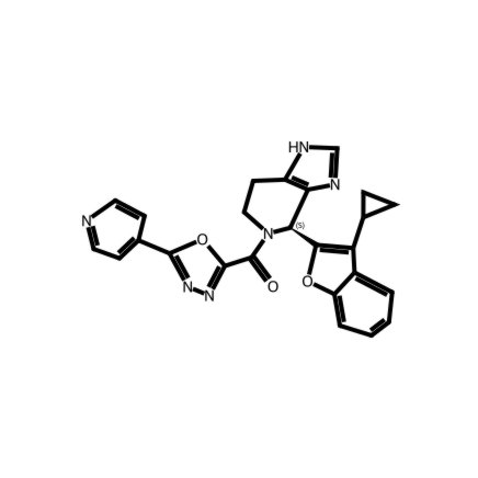 O=C(c1nnc(-c2ccncc2)o1)N1CCc2[nH]cnc2[C@H]1c1oc2ccccc2c1C1CC1